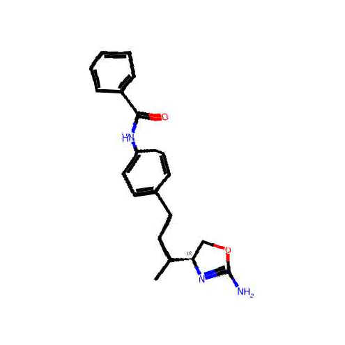 CC(CCc1ccc(NC(=O)c2ccccc2)cc1)[C@H]1COC(N)=N1